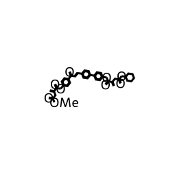 C=C(CC(=O)OC)C(=O)Oc1ccc(C(=O)/C=C/c2ccc(-c3ccc(OC(=O)C(=C)CC(=O)OC4CCCCC4)cc3)cc2)cc1